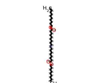 C=CCCCCCCCCOC(=O)CCCCCCC/C=C/CCCCCCCC(=O)OCCCCCCCCC=C